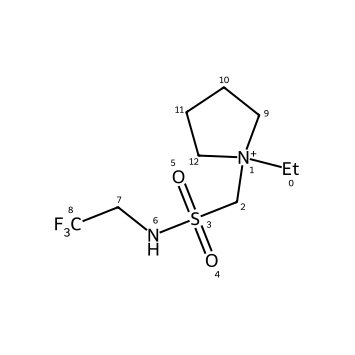 CC[N+]1(CS(=O)(=O)NCC(F)(F)F)CCCC1